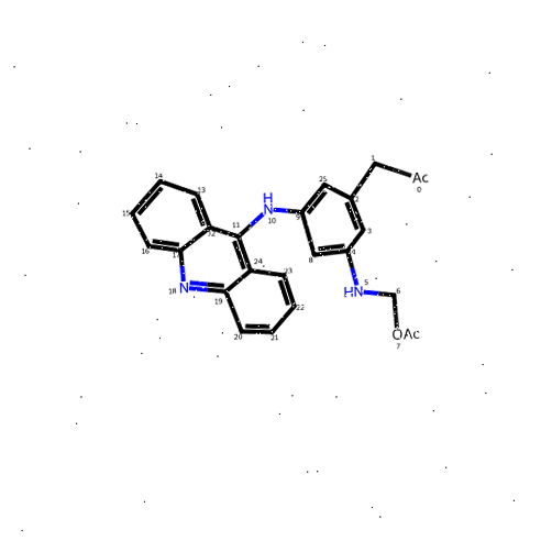 CC(=O)Cc1cc(NCOC(C)=O)cc(Nc2c3ccccc3nc3ccccc23)c1